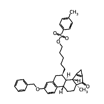 Cc1ccc(S(=O)(=O)OCCCCC[C@@H]2Cc3cc(OCc4ccccc4)ccc3[C@H]3CC[C@]4(C)C(=O)C5=C(C5)[C@H]4[C@H]23)cc1